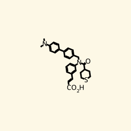 CN(C)c1ccc(-c2ccc(CN(C(=O)C3CCSCC3)c3cccc(C=CC(=O)O)c3)cc2)cc1